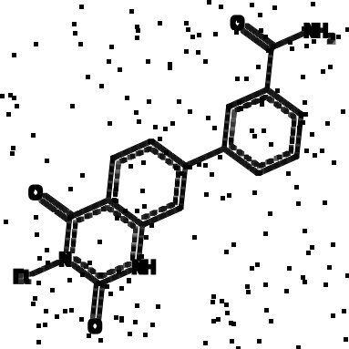 CCn1c(=O)[nH]c2cc(-c3cccc(C(N)=O)c3)ccc2c1=O